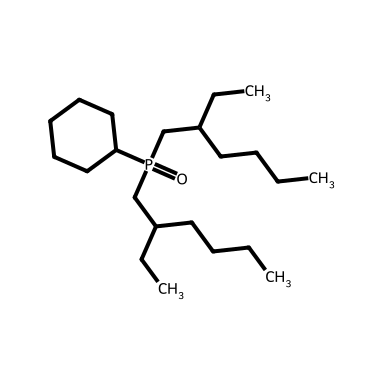 CCCCC(CC)CP(=O)(CC(CC)CCCC)C1CCCCC1